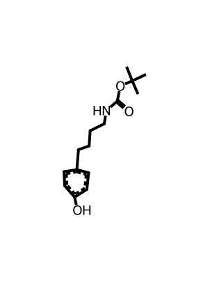 CC(C)(C)OC(=O)NCCCCc1ccc(O)cc1